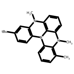 Cc1cccc2c1N(C)c1cccc3c1B2c1ccc(C(C)(C)C)cc1N3C